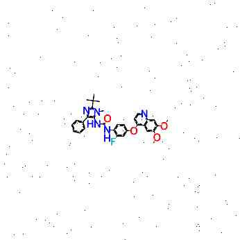 COc1cc2nccc(Oc3ccc(NC(=O)Nc4c(-c5ccccc5)nc(C(C)(C)C)n4C)c(F)c3)c2cc1OC